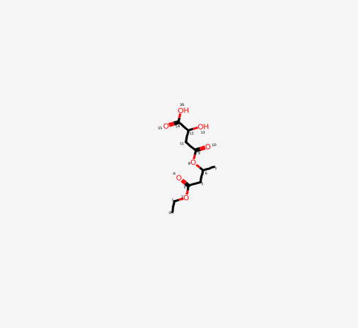 CCOC(=O)CC(C)OC(=O)CC(O)C(=O)O